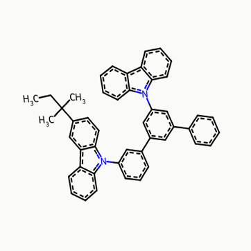 CCC(C)(C)c1ccc2c(c1)c1ccccc1n2-c1cccc(-c2cc(-c3ccccc3)cc(-n3c4ccccc4c4ccccc43)c2)c1